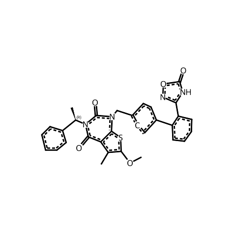 COc1sc2c(c1C)c(=O)n([C@H](C)c1ccccc1)c(=O)n2Cc1ccc(-c2ccccc2-c2noc(=O)[nH]2)cc1